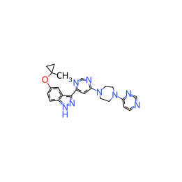 CC1(Oc2ccc3[nH]nc(-c4cc(N5CCN(c6ccncn6)CC5)ncn4)c3c2)CC1